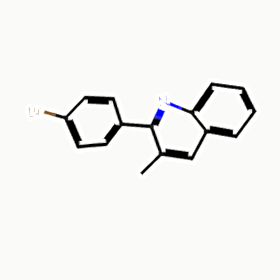 Cc1cc2ccccc2nc1-c1ccc(Br)cc1